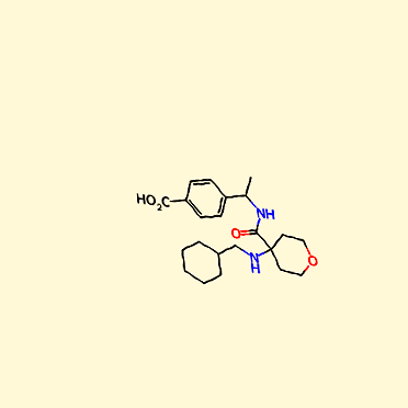 CC(NC(=O)C1(NCC2CCCCC2)CCOCC1)c1ccc(C(=O)O)cc1